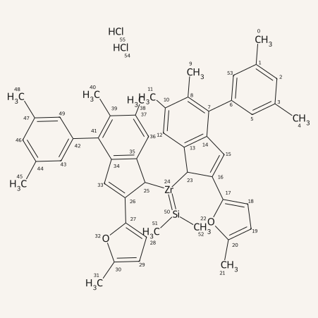 Cc1cc(C)cc(-c2c(C)c(C)cc3c2C=C(c2ccc(C)o2)[CH]3[Zr]([CH]2C(c3ccc(C)o3)=Cc3c2cc(C)c(C)c3-c2cc(C)cc(C)c2)=[Si](C)C)c1.Cl.Cl